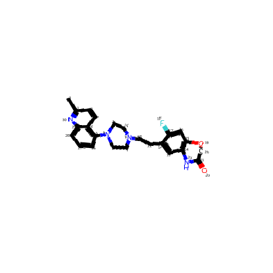 Cc1ccc2c(N3CCN(CCc4cc5c(cc4F)OCC(=O)N5)CC3)cccc2n1